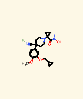 COc1ccc(C2(C#N)CCN(C3(C(=O)NO)CC3)CC2)cc1OCC1CC1.Cl